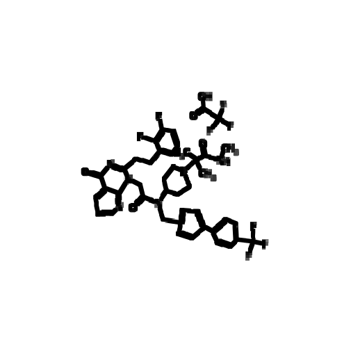 CNC(=O)C(C)(C)N1CCC(N(Cc2ccc(-c3ccc(C(F)(F)F)cc3)cc2)C(=O)Cn2c(CCc3cccc(F)c3F)nc(=O)c3cccnc32)CC1.O=C(O)C(F)(F)F